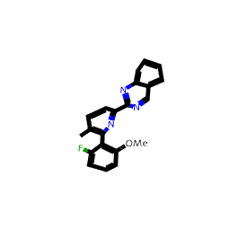 COc1cccc(F)c1-c1nc(-c2ncc3ccccc3n2)ccc1C